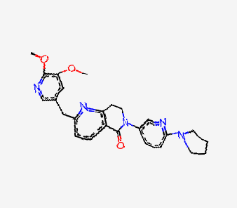 COc1cc(Cc2ccc3c(n2)CCN(c2ccc(N4CCCC4)nc2)C3=O)cnc1OC